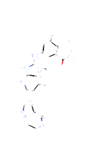 CN(C)C(=O)c1cc(Nc2nc3ncc(Oc4cnn5ccnc(Cl)c45)c(Cl)c3n2C)cc(C(F)(F)F)c1F